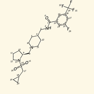 O=C(NCC1CCN(C[C@@H]2CCCN2S(=O)(=O)CC2CC2)CC1)c1cc(F)cc(C(F)(F)F)c1